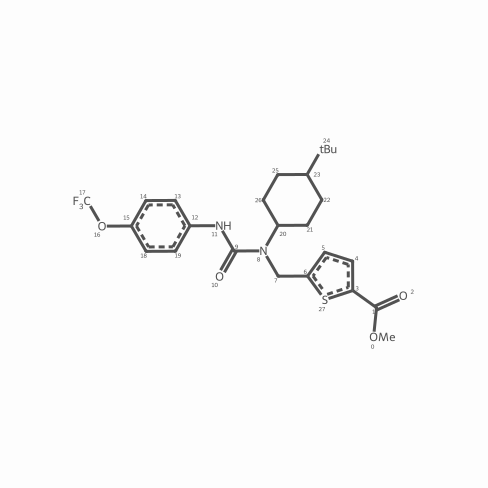 COC(=O)c1ccc(CN(C(=O)Nc2ccc(OC(F)(F)F)cc2)C2CCC(C(C)(C)C)CC2)s1